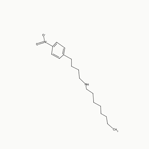 CCCCCCCCNCCCCc1ccc([N+](=O)[O-])cc1